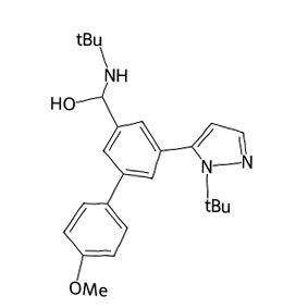 COc1ccc(-c2cc(-c3ccnn3C(C)(C)C)cc(C(O)NC(C)(C)C)c2)cc1